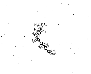 COc1ccc(-c2ccc(C(C)(C)c3ccc(-c4ccc(OC(=O)Oc5ccc(C(C)(C)c6ccc(OC(C)=O)c(C)c6)cc5C)c(C)c4)cc3)cc2)cc1C